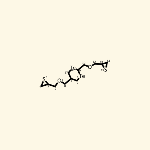 C(OCC1CS1)C1C[Te]C(COCC2CS2)[Te]C1